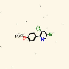 CCCCCCCCOc1ccc(-c2ncc(Br)cc2Cl)cc1